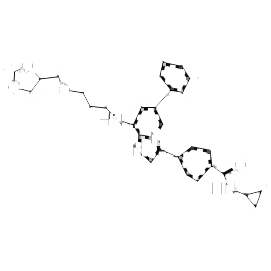 O=C(NC1CC1)c1ccc(-c2cnc3c(NCCCOCC4COCO4)cc(-c4ccccc4)cn23)cc1